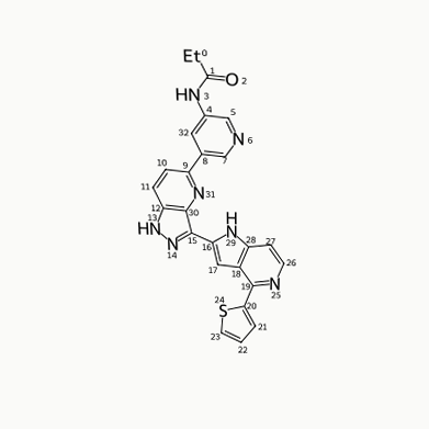 CCC(=O)Nc1cncc(-c2ccc3[nH]nc(-c4cc5c(-c6cccs6)nccc5[nH]4)c3n2)c1